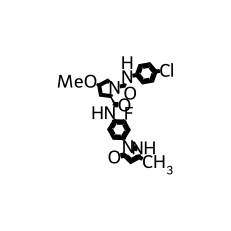 CO[C@@H]1C[C@H](C(=O)Nc2ccc(-n3[nH]c(C)cc3=O)cc2F)N(C(=O)Nc2ccc(Cl)cc2)C1